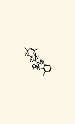 Cc1cc(C)n2nc(S(=O)(=O)Nc3c(C)cccc3Br)nc2n1